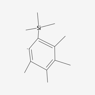 Cc1[c]c([Si](C)(C)C)c(C)c(C)c1C